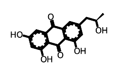 C[C@@H](O)Cc1cc(O)c2c(c1)C(=O)c1cc(O)cc(O)c1C2=O